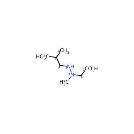 CC(CNN(C)CC(=O)O)C(=O)O